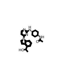 CC(=O)N[C@H]1CC[C@H](Nc2nccc(-n3ccc4c(C(C)O)cccc43)n2)CC1